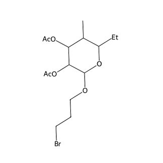 CCC1OC(OCCCBr)C(OC(C)=O)C(OC(C)=O)C1C